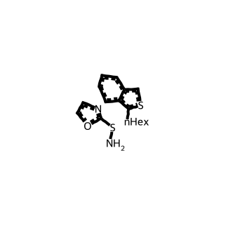 CCCCCCc1scc2ccccc12.NSc1ncco1